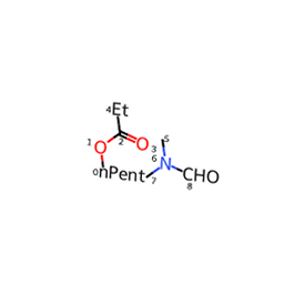 CCCCCOC(=O)CC.CN(C)C=O